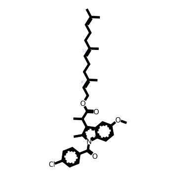 COc1ccc2c(c1)c(C(C)C(=O)OC/C=C(\C)CC/C=C(\C)CCC=C(C)C)c(C)n2C(=O)c1ccc(Cl)cc1